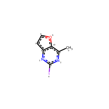 Cc1nc(I)nc2ccoc12